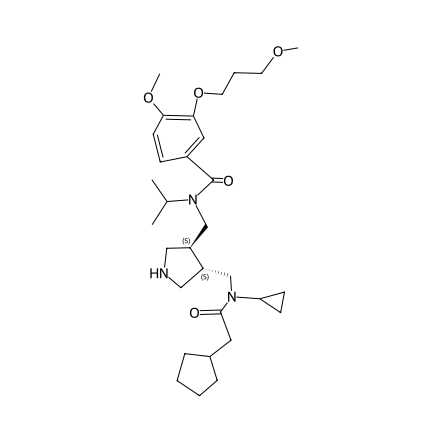 COCCCOc1cc(C(=O)N(C[C@@H]2CNC[C@H]2CN(C(=O)CC2CCCC2)C2CC2)C(C)C)ccc1OC